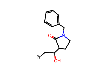 CC(C)C[C@H](O)C1CCN(Cc2ccccc2)C1=O